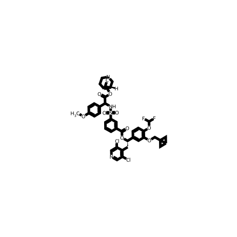 COc1ccc(C(NS(=O)(=O)c2cccc(C(=O)O[C@@H](Cc3c(Cl)cncc3Cl)c3ccc(OC(F)F)c(OCC45CC4C5)c3)c2)C(=O)O[C@H]2CN3CCC2CC3)cc1